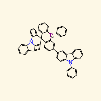 c1ccc(-n2c3ccccc3c3cc(-c4ccc5c(c4)[P@](c4ccccc4)c4ccccc4C54c5ccccc5-n5c6ccccc6c6cccc4c65)ccc32)cc1